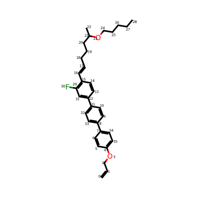 C=CCOc1ccc(-c2ccc(-c3ccc(C=CCCCC(C)OCCCCC)c(F)c3)cc2)cc1